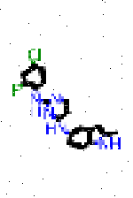 Cc1cc2cc(Nc3ccnc(Nc4ccc(Cl)cc4F)n3)ccc2[nH]1